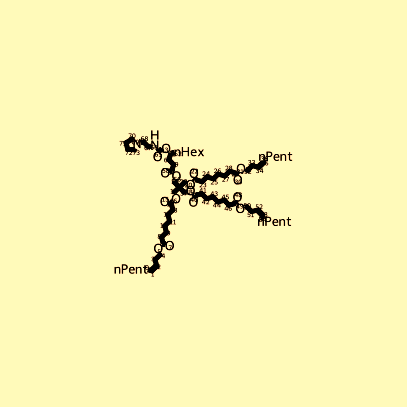 CCCCC/C=C\CCOC(=O)CCCCCCC(=O)OCC(COC(=O)CCCCCCC(=O)OCC/C=C\CCCCC)(COC(=O)CCCCCCC(=O)OCC/C=C\CCCCC)COC(=O)CCC(CCCCCC)OC(=O)NCCN1CCCC1